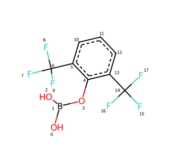 OB(O)Oc1c(C(F)(F)F)cccc1C(F)(F)F